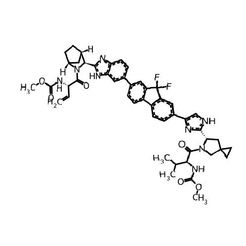 C=C[C@H](NC(=O)OC)C(=O)N1[C@@H]2CC[C@@H](C2)[C@H]1c1nc2ccc(-c3ccc4c(c3)C(F)(F)c3cc(-c5c[nH]c([C@@H]6CC7(CC7)CN6C(=O)[C@@H](NC(=O)OC)C(C)C)n5)ccc3-4)cc2[nH]1